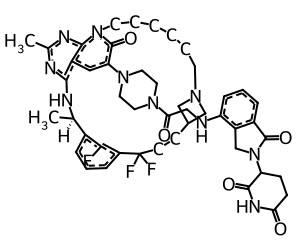 Cc1nc2c3cc(N4CCN(C(=O)CNc5cccc6c5CN(C5CCC(=O)NC5=O)C6=O)CC4)c(=O)n(c3n1)CCCCCCN1CC(CCC(F)(F)c3cccc(c3F)[C@@H](C)N2)C1